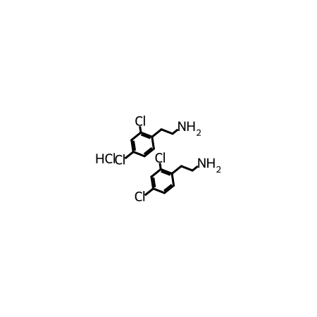 Cl.NCCc1ccc(Cl)cc1Cl.NCCc1ccc(Cl)cc1Cl